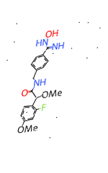 COc1ccc(C(OC)C(=O)NCc2ccc(C(=N)NO)cc2)c(F)c1